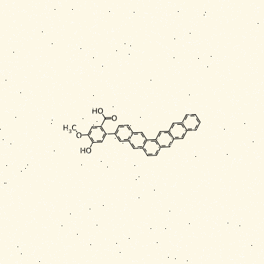 COc1cc(C(=O)O)c(-c2ccc3cc4c(ccc5cc6cc7ccccc7cc6cc54)cc3c2)cc1O